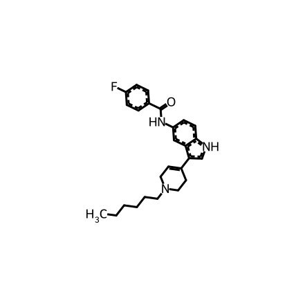 CCCCCCN1CC=C(c2c[nH]c3ccc(NC(=O)c4ccc(F)cc4)cc23)CC1